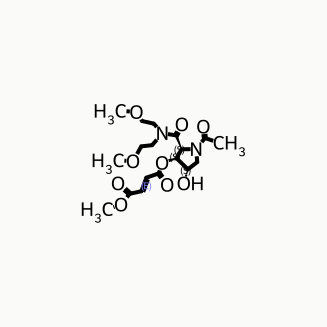 COCCN(CCOC)C(=O)[C@@H]1[C@H](OC(=O)/C=C/C(=O)OC)[C@@H](O)CN1C(C)=O